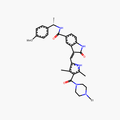 CCN1CCN(C(=O)c2c(C)[nH]c(C=C3C(=O)Nc4ccc(C(=O)N[C@@H](C)c5ccc(OC)cc5)cc43)c2C)CC1